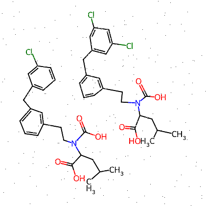 CC(C)CC(C(=O)O)N(CCc1cccc(Cc2cc(Cl)cc(Cl)c2)c1)C(=O)O.CC(C)CC(C(=O)O)N(CCc1cccc(Cc2cccc(Cl)c2)c1)C(=O)O